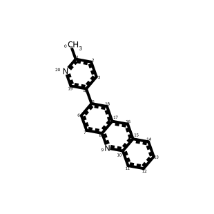 Cc1ccc(-c2ccc3nc4ccccc4cc3c2)cn1